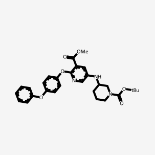 COC(=O)c1cc(NC2CCCN(C(=O)OC(C)(C)C)C2)cnc1Oc1ccc(Oc2ccccc2)cc1